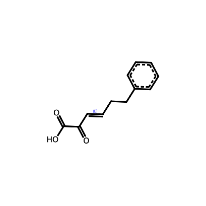 O=C(O)C(=O)/C=C/CCc1ccccc1